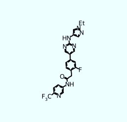 CCn1cc(Nc2ncc(-c3ccc(CC(=O)Nc4ccc(C(F)(F)F)nc4)c(F)c3)cn2)cn1